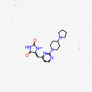 CN1C(=O)NC(=O)C1=Cc1ccnc(N2CCC(N3CCCC3)CC2)n1